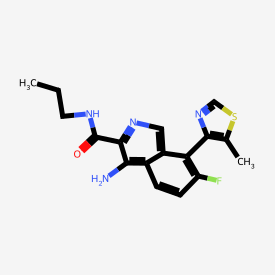 CCCNC(=O)c1ncc2c(-c3ncsc3C)c(F)ccc2c1N